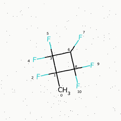 CC1(F)C(F)(F)C(F)C1(F)F